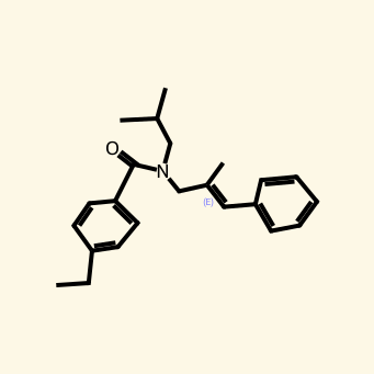 CCc1ccc(C(=O)N(C/C(C)=C/c2ccccc2)CC(C)C)cc1